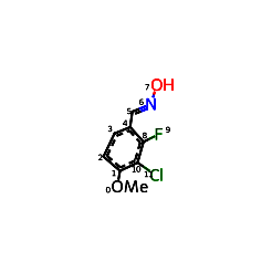 COc1ccc(/C=N/O)c(F)c1Cl